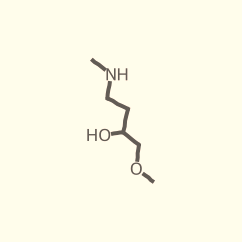 CNCCC(O)COC